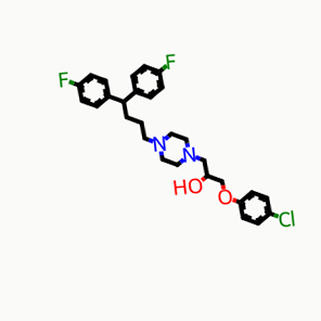 OC(COc1ccc(Cl)cc1)CN1CCN(CCCC(c2ccc(F)cc2)c2ccc(F)cc2)CC1